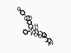 CC[C@@H](c1ccccc1)N1Cc2cc3c(cc2C[C@H]1C(=O)N[C@@H](Cc1ccc(-c2ccnc(C)c2C)cc1)C(=O)O)OC[C@H](c1ccc(OC)cc1)O3